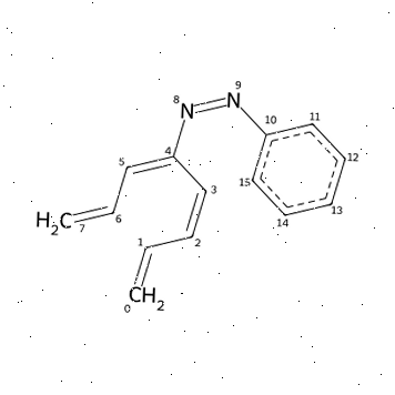 C=C\C=C/C(=C\C=C)/N=N\c1ccccc1